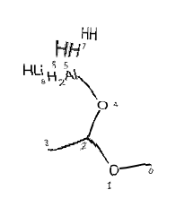 COC(C)[O][AlH2].[HH].[HH].[LiH]